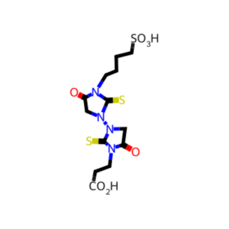 O=C(O)CCN1C(=O)CN(N2CC(=O)N(CCCCS(=O)(=O)O)C2=S)C1=S